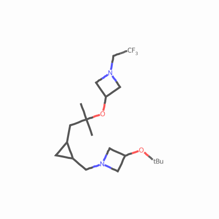 CC(C)(C)OC1CN(CC2CC2CC(C)(C)OC2CN(CC(F)(F)F)C2)C1